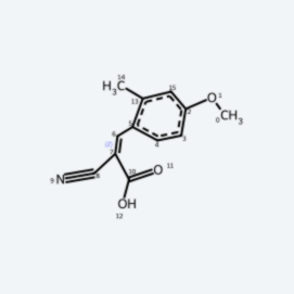 COc1ccc(/C=C(/C#N)C(=O)O)c(C)c1